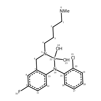 CNCCCCN1Cc2cc(F)ccc2N(c2ccccc2Cl)S1(O)O